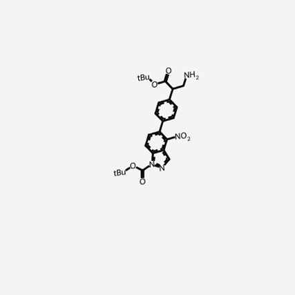 CC(C)(C)OC(=O)C(CN)c1ccc(-c2ccc3c(cnn3C(=O)OC(C)(C)C)c2[N+](=O)[O-])cc1